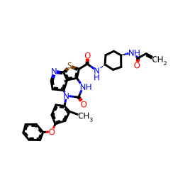 C=CC(=O)N[C@H]1CC[C@H](NC(=O)c2sc3nccc4c3c2NC(=O)N4c2ccc(Oc3ccccc3)cc2C)CC1